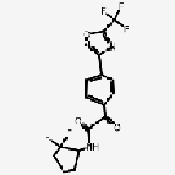 O=C(NC1CCCC1(F)F)C(=O)c1ccc(-c2noc(C(F)(F)F)n2)cc1